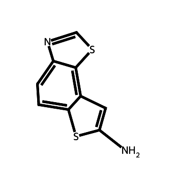 Nc1cc2c(ccc3ncsc32)s1